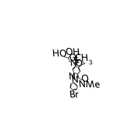 CNC(=O)c1c2cc(C3CC3)c(N(CC(CO)CO)S(C)(=O)=O)cc2nn1-c1ccc(Br)cc1